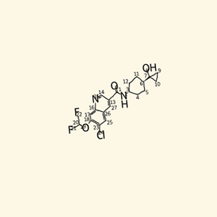 O=C(N[C@H]1CC[C@H](C2(O)CC2)CC1)c1cnc2cc(OC(F)F)c(Cl)cc2c1